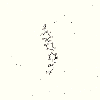 CCC(=O)Oc1ncc(-c2ccc(-c3ccc(C#N)cc3)cc2)cn1